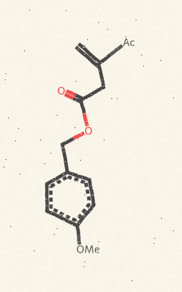 C=C(CC(=O)OCc1ccc(OC)cc1)C(C)=O